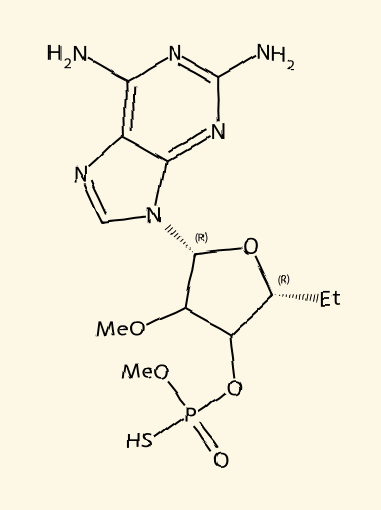 CC[C@H]1O[C@@H](n2cnc3c(N)nc(N)nc32)C(OC)C1OP(=O)(S)OC